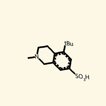 CN1CCc2c(cc(S(=O)(=O)O)cc2C(C)(C)C)C1